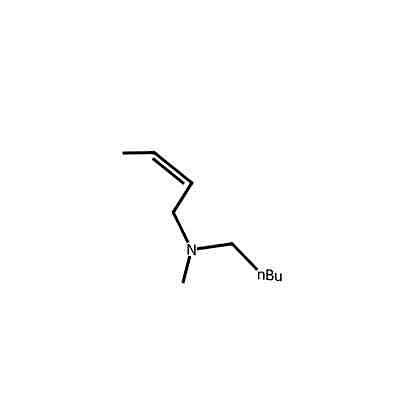 C/C=C\CN(C)CCCCC